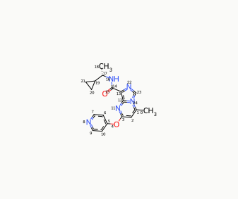 Cc1cc(Oc2ccncc2)nc2c(C(=O)N[C@@H](C)C3CC3)ncn12